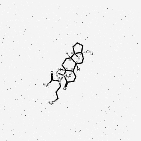 CCCCN(C(C)=O)[N+]1(C)C(=O)CC[C@@]2(C)[C@H]1CC[C@H]1[C@@H]3CCC[C@@]3(C)CC[C@@H]12